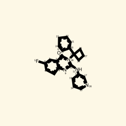 O=c1c2cc(F)ccc2nc(Nc2cccnc2)n1C1(c2ccccc2)CCC1